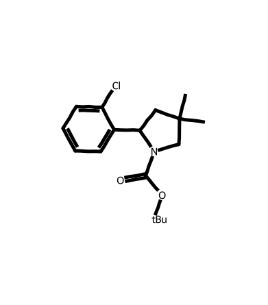 CC1(C)CC(c2ccccc2Cl)N(C(=O)OC(C)(C)C)C1